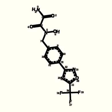 NC(=O)C(=O)N(O)Cc1ccc(-c2noc(C(F)(F)F)n2)cc1